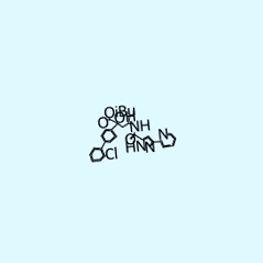 CC(C)COC(=O)C(O)(CC(C)NC(=O)c1cc(-c2ccccn2)n[nH]1)c1ccc(-c2ccccc2Cl)cc1